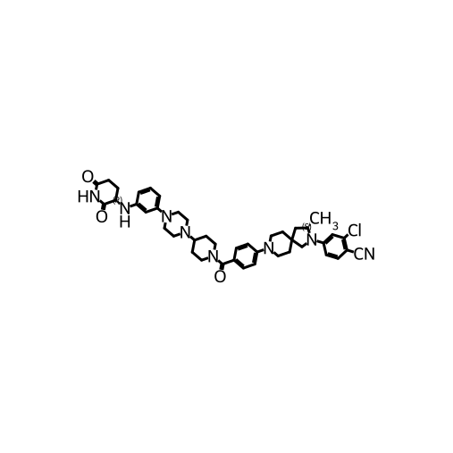 C[C@H]1CC2(CCN(c3ccc(C(=O)N4CCC(N5CCN(c6cccc(N[C@@H]7CCC(=O)NC7=O)c6)CC5)CC4)cc3)CC2)CN1c1ccc(C#N)c(Cl)c1